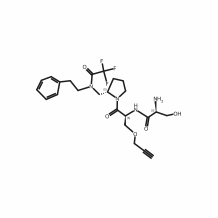 C#CCOC[C@H](NC(=O)[C@@H](N)CO)C(=O)N1CCC[C@H]1CN(CCc1ccccc1)C(=O)C(F)(F)F